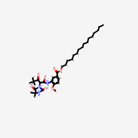 CCCCCCCCCCCCCCCCOC(=O)c1ccc(OC)c(NC(=O)C(C(=O)C(C)(C)C)N2C(=O)NC(C)(C)C2=O)c1